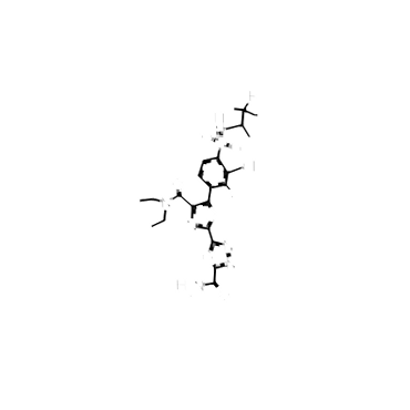 CCN(CC)C(=O)c1nc(-c2nnc(C(N)=O)o2)sc1-c1ccc(S(=O)(=O)NC(C)C(F)(F)F)c(Cl)c1Cl